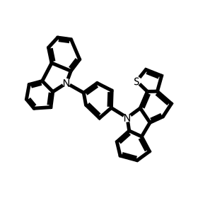 c1ccc2c(c1)c1ccccc1n2-c1ccc(-n2c3ccccc3c3ccc4ccsc4c32)cc1